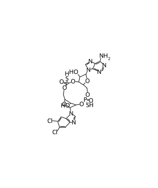 Nc1ncnc2c1ncn2C1OC2COP(=O)(S)OC3C(O)C(COP(=O)(S)OC2C1O)OC3n1cnc2cc(Cl)c(Cl)cc21